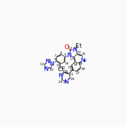 CCn1c(=O)n(-c2ccc(-n3cncn3)c(C(F)(F)F)c2)c2c3cc(-c4cncnc4)ccc3ncc21